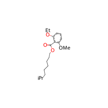 CCOc1cccc(OC)c1C(=O)OCCCCCCC(C)C